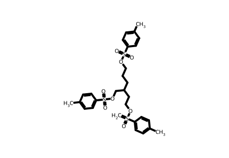 C=S(=O)(OCCC(CCCOS(=O)(=O)c1ccc(C)cc1)COS(=O)(=O)c1ccc(C)cc1)c1ccc(C)cc1